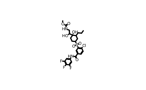 CCCC1CC(S(=O)(=O)c2cc(C(=O)Nc3cc(F)c(F)c(F)c3)ccc2Cl)CC[C@]1(O)C(O)CNC(=O)OC